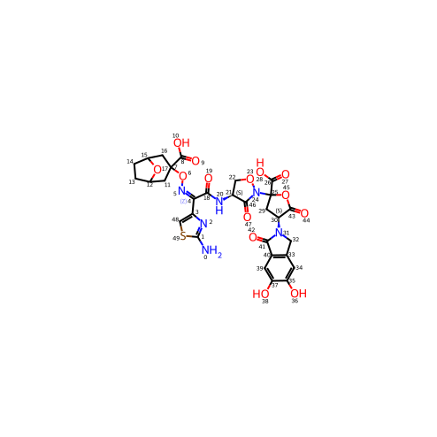 Nc1nc(/C(=N/OC2(C(=O)O)CC3CCC(C2)O3)C(=O)N[C@H]2CON(C3(C(=O)O)C[C@H](N4Cc5cc(O)c(O)cc5C4=O)C(=O)O3)C2=O)cs1